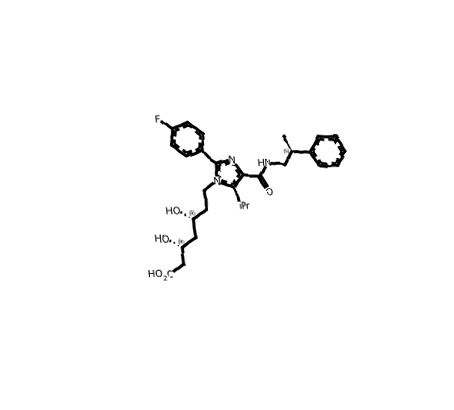 CC(C)c1c(C(=O)NC[C@@H](C)c2ccccc2)nc(-c2ccc(F)cc2)n1CC[C@@H](O)C[C@@H](O)CC(=O)O